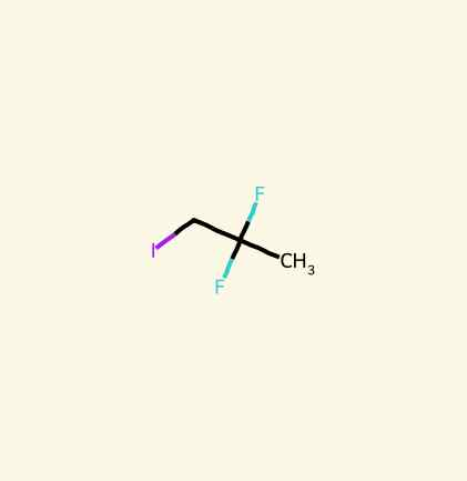 CC(F)(F)CI